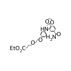 CCOC(=O)CCCOCCOc1ccc(Nc2cc(C(N)=O)ccc2C2(C)OCCO2)cc1